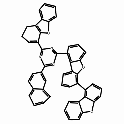 C1=C(c2nc(-c3ccc4ccccc4c3)nc(-c3cccc4oc5c(-c6cccc7oc8ccccc8c67)cccc5c34)n2)c2oc3ccccc3c2CC1